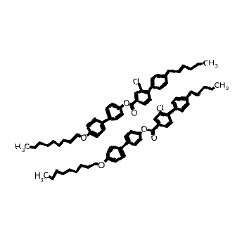 CCCCCCCCCOc1ccc(-c2ccc(OC(=O)c3ccc(-c4ccc(CCCCC)cc4)c(Cl)c3)cc2)cc1.CCCCCCCCCOc1ccc(-c2ccc(OC(=O)c3ccc(-c4ccc(CCCCCC)cc4)c(Cl)c3)cc2)cc1